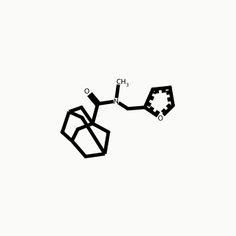 CN(Cc1ccco1)C(=O)C12CC3CC(CC(C3)C1)C2